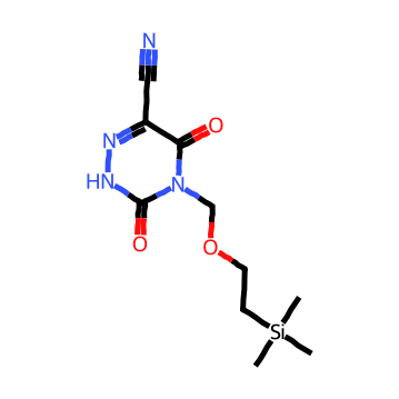 C[Si](C)(C)CCOCn1c(=O)[nH]nc(C#N)c1=O